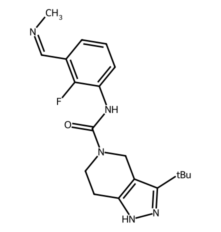 C/N=C\c1cccc(NC(=O)N2CCc3[nH]nc(C(C)(C)C)c3C2)c1F